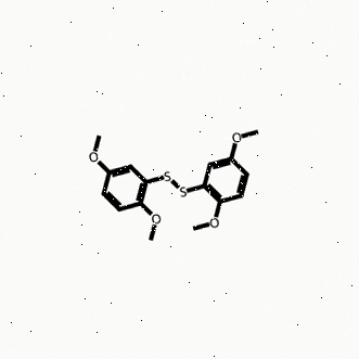 COc1ccc(OC)c(SSc2cc(OC)ccc2OC)c1